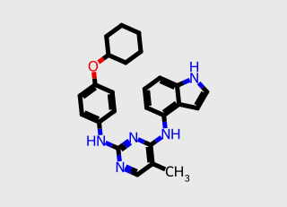 Cc1cnc(Nc2ccc(OC3CCCCC3)cc2)nc1Nc1cccc2[nH]ccc12